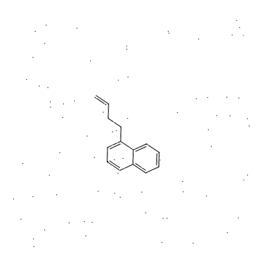 C=CCCc1cccc2ccccc12